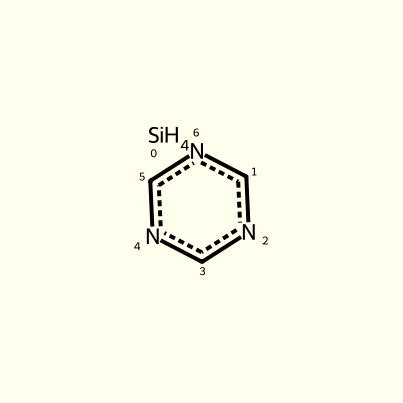 [SiH4].c1ncncn1